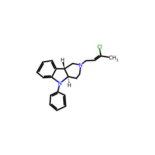 CC(Cl)=CCN1CC[C@@H]2[C@@H](C1)c1ccccc1N2c1ccccc1